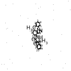 Cc1ccccc1-n1ncc2c1CCCC2NC(=O)c1oc2ccccc2c1C